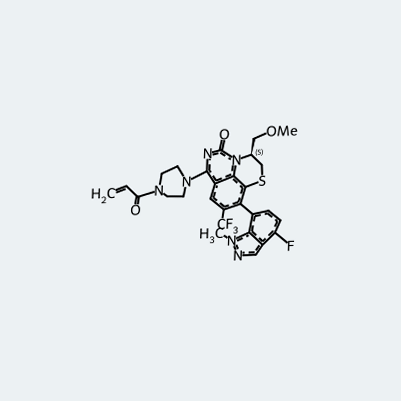 C=CC(=O)N1CCN(c2nc(=O)n3c4c(c(-c5ccc(F)c6cnn(C)c56)c(C(F)(F)F)cc24)SC[C@@H]3COC)CC1